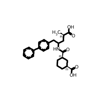 C[C@H](CC(Cc1ccc(-c2ccccc2)cc1)NC(=O)[C@@H]1CCC[C@H](C(=O)O)C1)C(=O)O